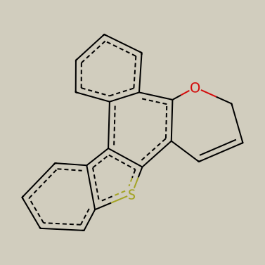 C1=Cc2c(c3ccccc3c3c2sc2ccccc23)OC1